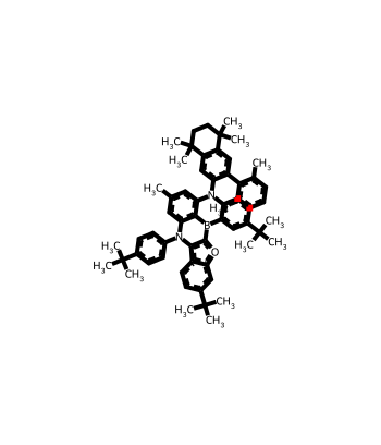 Cc1cc2c3c(c1)N(c1ccc(C(C)(C)C)cc1)c1c(oc4cc(C(C)(C)C)ccc14)B3c1cc(C(C)(C)C)ccc1N2c1cc2c(cc1-c1c(C)cccc1C)C(C)(C)CCC2(C)C